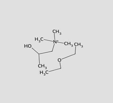 CC(O)C[N+](C)(C)C.CCOCC